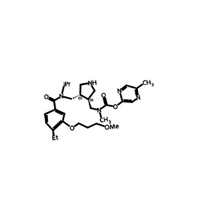 CCc1ccc(C(=O)N(C[C@@H]2CNC[C@H]2CN(C)C(=O)Oc2cnc(C)cn2)C(C)C)cc1OCCCOC